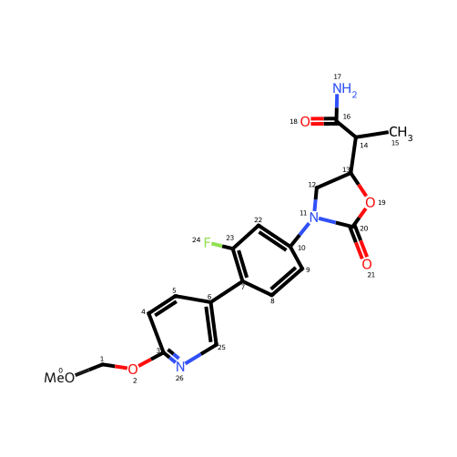 COCOc1ccc(-c2ccc(N3CC(C(C)C(N)=O)OC3=O)cc2F)cn1